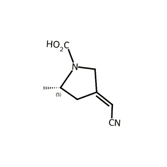 C[C@H]1CC(=CC#N)CN1C(=O)O